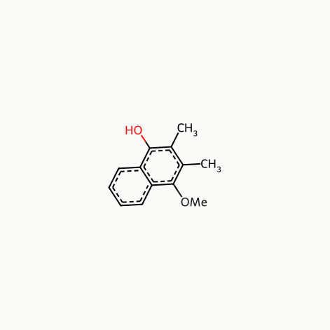 COc1c(C)c(C)c(O)c2ccccc12